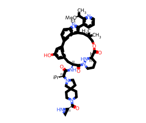 CCn1c(-c2cccnc2[C@H](C)OC)c2c3cc(ccc31)-c1cc(O)cc(c1)C[C@H](NC(=O)[C@H](C(C)C)N1CCC3(CCN(C(=O)[C@@H]4CN4)CC3)C1)C(=O)N1CCC[C@H](N1)C(=O)OCC(C)(C)C2